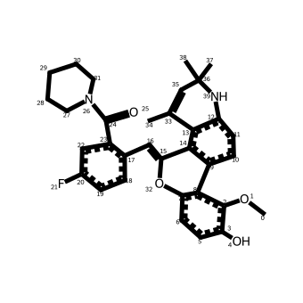 COc1c(O)ccc2c1-c1ccc3c(c1/C(=C/c1ccc(F)cc1C(=O)N1CCCCC1)O2)C(C)=CC(C)(C)N3